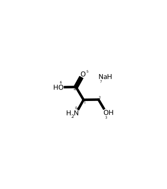 NC(CO)C(=O)O.[NaH]